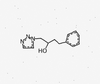 OC(CCc1ccccc1)Cn1ccnn1